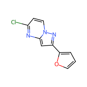 Clc1ccn2nc(-c3ccco3)cc2n1